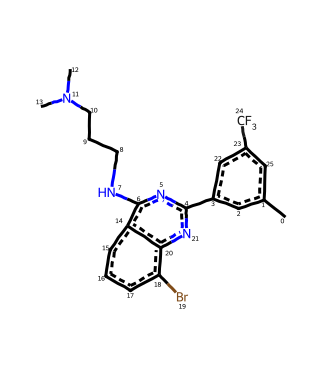 Cc1cc(-c2nc(NCCCN(C)C)c3cccc(Br)c3n2)cc(C(F)(F)F)c1